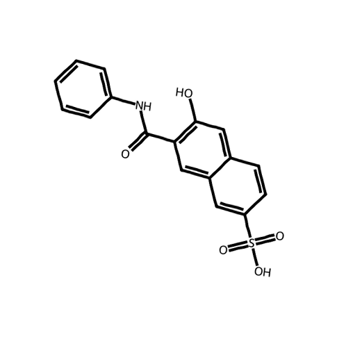 O=C(Nc1ccccc1)c1cc2cc(S(=O)(=O)O)ccc2cc1O